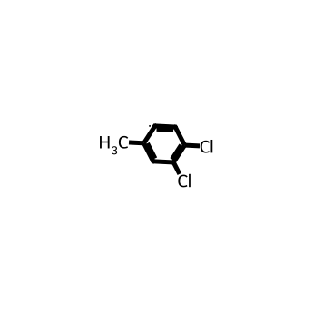 Cc1[c]cc(Cl)c(Cl)c1